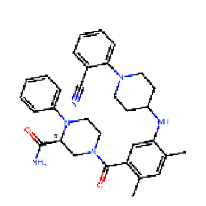 Cc1cc(C)c(C(=O)N2CCN(c3ccccc3)[C@H](C(N)=O)C2)cc1NC1CCN(c2ccccc2C#N)CC1